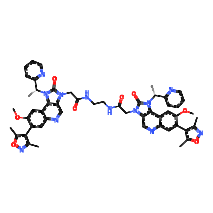 COc1cc2c(cc1-c1c(C)noc1C)ncc1c2n([C@H](C)c2ccccn2)c(=O)n1CC(=O)NCCNC(=O)Cn1c(=O)n([C@H](C)c2ccccn2)c2c3cc(OC)c(-c4c(C)noc4C)cc3ncc21